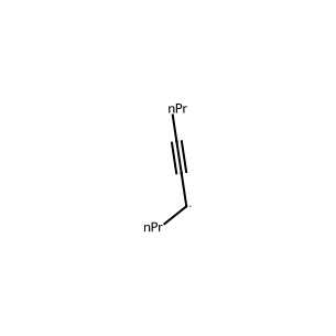 CCCC#C[CH]CCC